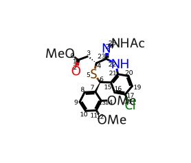 COC(=O)C[C@H]1S[C@H](c2cccc(OC)c2OC)c2cc(Cl)ccc2NC1=NNC(C)=O